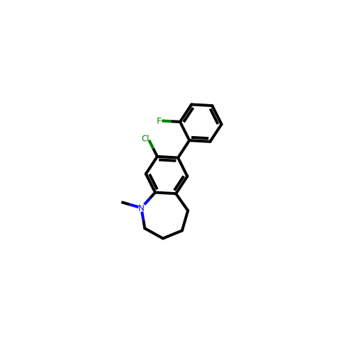 CN1CCCCc2cc(-c3ccccc3F)c(Cl)cc21